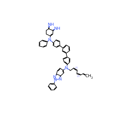 C=C/C=C\C=C/CN(c1ccc(-c2cccc(-c3ccc(N(C4=CC(=N)C(=N)CC4)c4ccccc4)cc3)c2)cc1)c1ccc2nn(-c3ccccc3)nc2c1